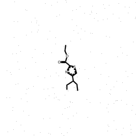 CCOC(=O)c1nc(C(CC)CC)cs1